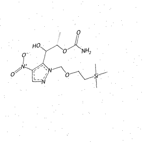 C[C@H](OC(N)=O)C(O)c1c([N+](=O)[O-])cnn1COCC[Si](C)(C)C